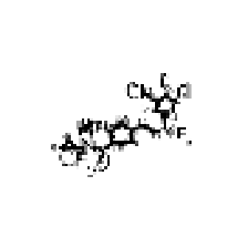 O=C(NC1(C(F)(F)F)CC1)c1ccc(/C=C/C(c2cc(Cl)c(Cl)c(Cl)c2)C(F)(F)F)cc1Br